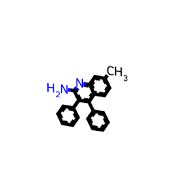 Cc1ccc2c(-c3ccccc3)c(-c3ccccc3)c(N)nc2c1